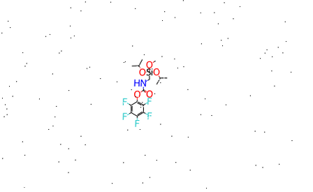 CO[Si](CNC(=O)Oc1c(F)c(F)c(F)c(F)c1F)(OC(C)C)OC(C)C